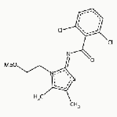 COCCn1c(C)c(C)sc1=NC(=O)c1c(Cl)cccc1Cl